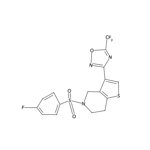 O=S(=O)(c1ccc(F)cc1)N1CCc2scc(-c3noc(C(F)(F)F)n3)c2C1